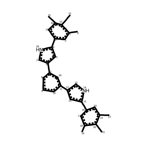 Cc1cc(-c2cc(-c3cccc(-c4c[nH]c(-c5cc(C)c(C)c(C)c5)c4)c3)c[nH]2)cc(C)c1C